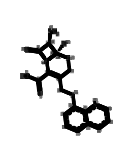 N[C@@H]1C(=O)N2C(C(=O)O)=C(CSc3cccc4cccnc34)CS[C@H]12